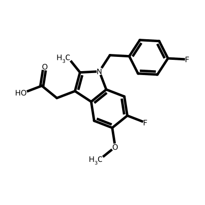 COc1cc2c(CC(=O)O)c(C)n(Cc3ccc(F)cc3)c2cc1F